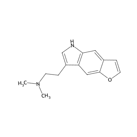 CN(C)CCc1c[nH]c2cc3ccoc3cc12